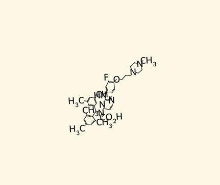 Cc1cc(C)cc(C(c2c(C)cc(C)cc2C)N(C(=O)O)c2ccnc(Nc3ccc(OCCCN4CCN(C)CC4)c(F)c3)n2)c1